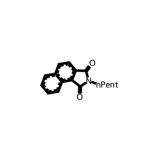 CCCCCN1C(=O)c2ccc3ccccc3c2C1=O